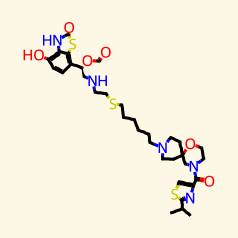 CC(C)c1nc(C(=O)N2CCOC3(CCN(CCCCCCSCCNC[C@H](OC=O)c4ccc(O)c5[nH]c(=O)sc45)CC3)C2)cs1